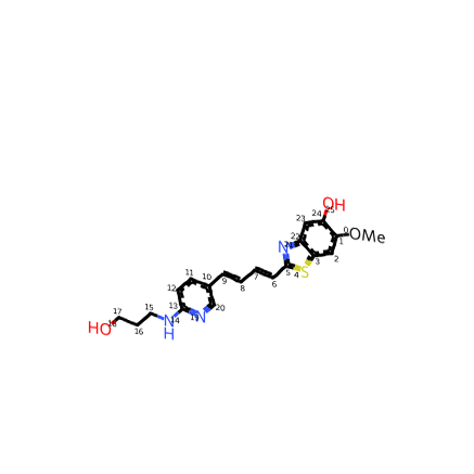 COc1cc2sc(/C=C/C=C/c3ccc(NCCCO)nc3)nc2cc1O